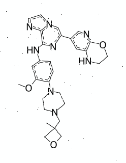 COc1cc(Nc2nc(-c3cnc4c(c3)NCCO4)cn3ccnc23)ccc1N1CCN(CC2(C)COC2)CC1